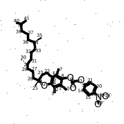 Cc1c(C)c2c(c(C)c1OC(=O)Oc1ccc([N+](=O)[O-])cc1)CC[C@@](C)(CCC[C@H](C)CCC[C@H](C)CCCC(C)C)O2